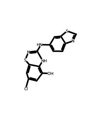 Oc1cc(Cl)cc2c1NC(Nc1ccc3ncsc3c1)=NS2